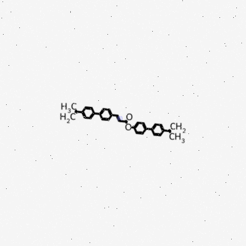 C=C(C)c1ccc(-c2ccc(/C=C/C(=O)Oc3ccc(-c4ccc(C(=C)C)cc4)cc3)cc2)cc1